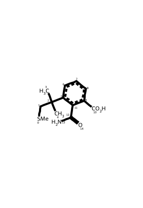 CSCC(C)(C)c1cccc(C(=O)O)c1C(N)=O